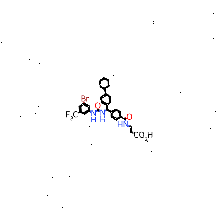 O=C(O)CCNC(=O)c1ccc(C(NC(=O)Nc2cc(Br)cc(C(F)(F)F)c2)c2ccc(C3CCCCC3)cc2)cc1